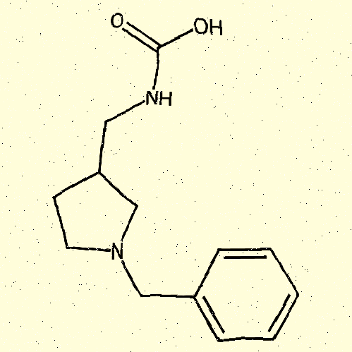 O=C(O)NCC1CCN(Cc2ccccc2)C1